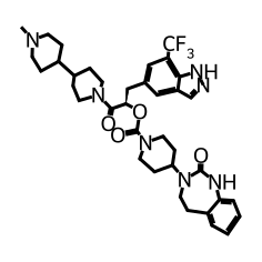 CN1CCC(C2CCN(C(=O)[C@@H](Cc3cc(C(F)(F)F)c4[nH]ncc4c3)OC(=O)N3CCC(N4CCc5ccccc5NC4=O)CC3)CC2)CC1